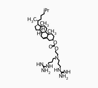 CC(C)CCC[C@H](C)[C@@H]1CC[C@@H]2[C@H]3CC=C4CC(OC(=O)OCCN(CCCNC(=N)N)CCCNC(=N)N)CC[C@@]4(C)C3CC[C@]21C